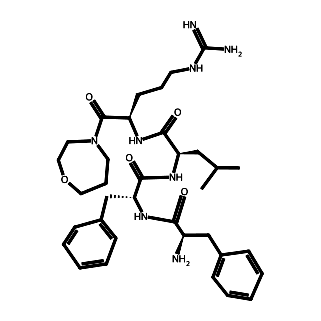 CC(C)C[C@@H](NC(=O)[C@@H](Cc1ccccc1)NC(=O)[C@H](N)Cc1ccccc1)C(=O)N[C@H](CCCNC(=N)N)C(=O)N1CCCOCC1